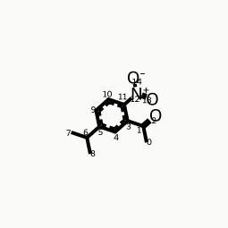 CC(=O)c1cc(C(C)C)ccc1[N+](=O)[O-]